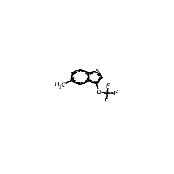 [CH2]c1ccc2scc(OC(F)(F)F)c2c1